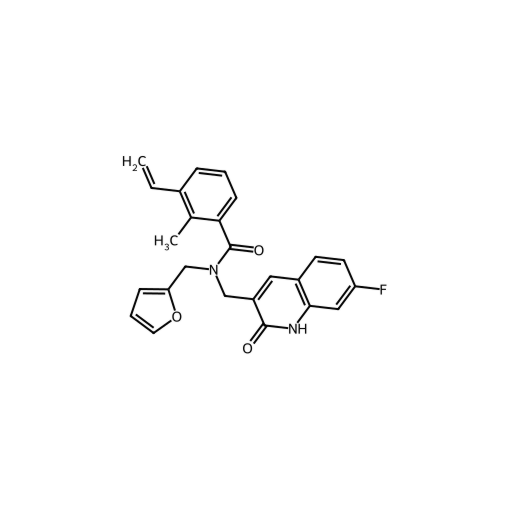 C=Cc1cccc(C(=O)N(Cc2ccco2)Cc2cc3ccc(F)cc3[nH]c2=O)c1C